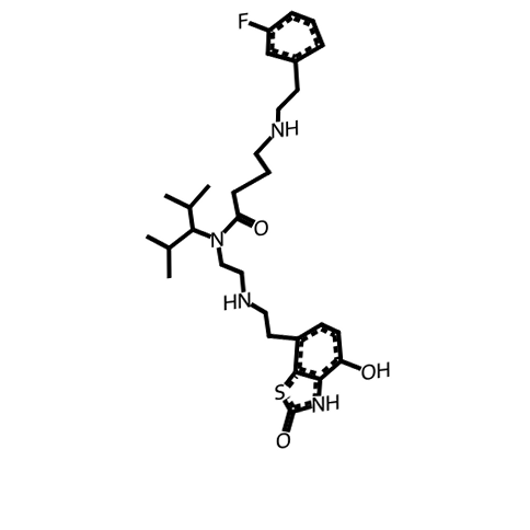 CC(C)C(C(C)C)N(CCNCCc1ccc(O)c2[nH]c(=O)sc12)C(=O)CCCNCCc1cccc(F)c1